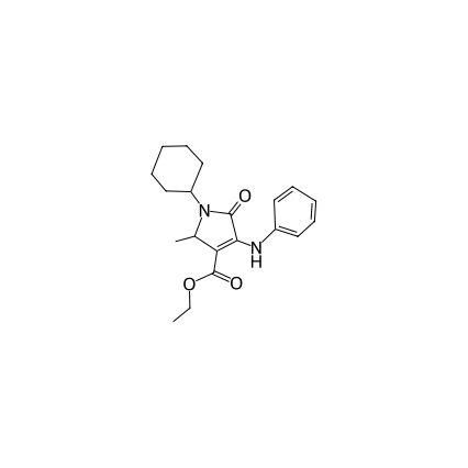 CCOC(=O)C1=C(Nc2ccccc2)C(=O)N(C2CCCCC2)C1C